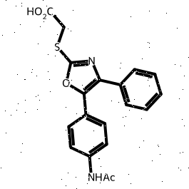 CC(=O)Nc1ccc(-c2oc(SCC(=O)O)nc2-c2ccccc2)cc1